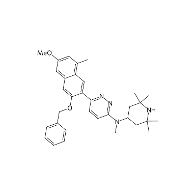 COc1cc(C)c2cc(-c3ccc(N(C)C4CC(C)(C)NC(C)(C)C4)nn3)c(OCc3ccccc3)cc2c1